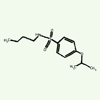 CCCCNS(=O)(=O)c1ccc(OC(C)C)cc1